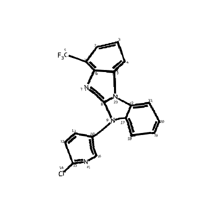 FC(F)(F)c1cccc2c1nc1n(-c3ccc(Cl)nc3)c3ccccc3n21